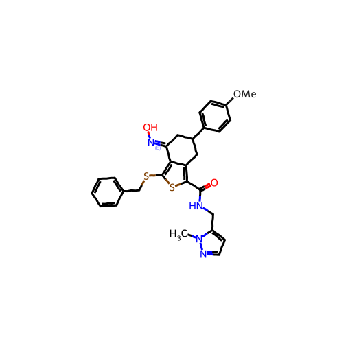 COc1ccc(C2C/C(=N\O)c3c(SCc4ccccc4)sc(C(=O)NCc4ccnn4C)c3C2)cc1